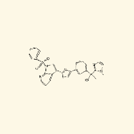 Cn1ccnc1C(C)(O)c1cccc(-c2csc(-c3cn(S(=O)(=O)c4ccccc4)c4ncccc34)n2)c1